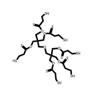 S=C(CCS)OCC(COCC(COC(=S)CCS)(COC(=S)CCS)COC(=S)CCS)(COC(=S)CCS)COC(=S)CCS